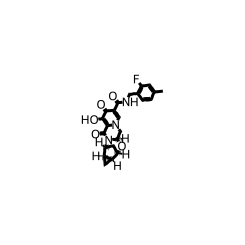 Cc1ccc(CNC(=O)c2cn3c(c(O)c2=O)C(=O)N2[C@@H]4C[C@H](O[C@@H]2C3)[C@H]2C[C@H]24)c(F)c1